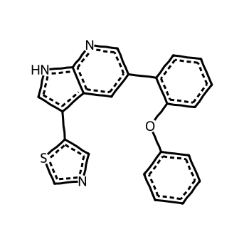 c1ccc(Oc2ccccc2-c2cnc3[nH]cc(-c4cncs4)c3c2)cc1